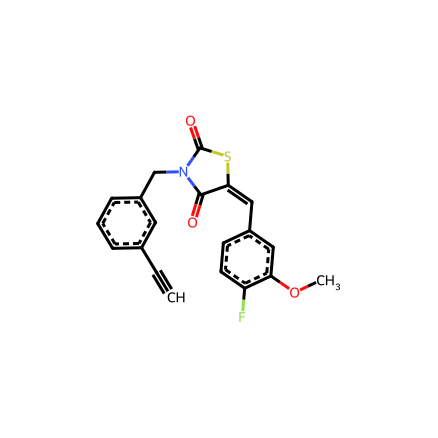 C#Cc1cccc(CN2C(=O)SC(=Cc3ccc(F)c(OC)c3)C2=O)c1